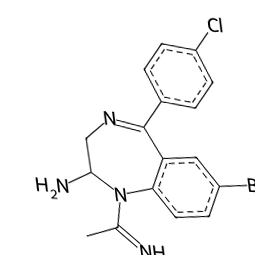 CC(=N)N1c2ccc(Br)cc2C(c2ccc(Cl)cc2)=NCC1N